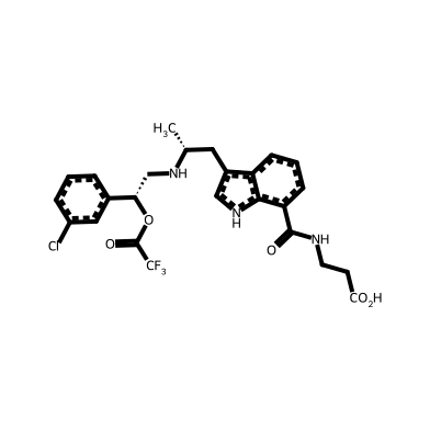 C[C@H](Cc1c[nH]c2c(C(=O)NCCC(=O)O)cccc12)NC[C@H](OC(=O)C(F)(F)F)c1cccc(Cl)c1